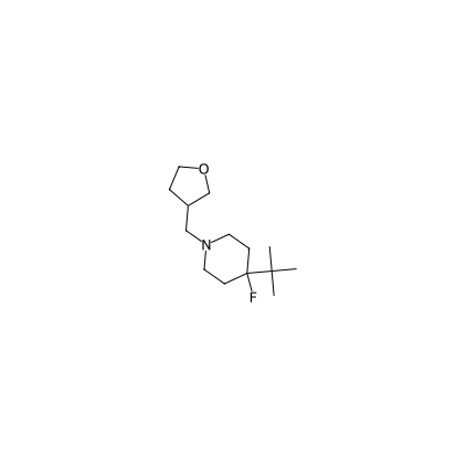 CC(C)(C)C1(F)CCN(CC2CCOC2)CC1